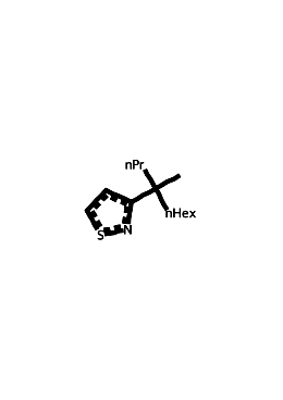 CCCCCCC(C)(CCC)c1ccsn1